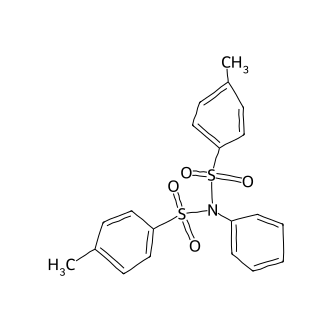 Cc1ccc(S(=O)(=O)N(c2ccccc2)S(=O)(=O)c2ccc(C)cc2)cc1